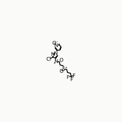 CN(C(=O)CC[S+]([O-])CCCC(F)(F)F)c1cn(-c2ccc[n+]([O-])c2)nc1Cl